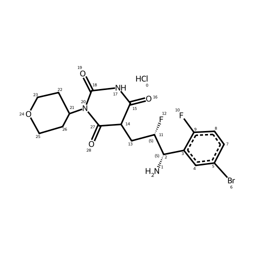 Cl.N[C@@H](c1cc(Br)ccc1F)[C@@H](F)CC1C(=O)NC(=O)N(C2CCOCC2)C1=O